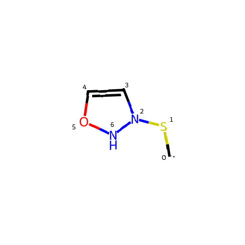 [CH2]SN1C=CON1